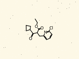 CCOC(=O)C(Cc1cccc(Cl)n1)C(=O)C1CCC1